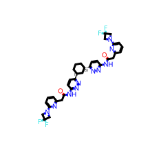 O=C(Cc1cccc(N2CC(F)(F)C2)n1)Nc1ccc([C@H]2CCC[C@H](c3ccc(NC(=O)Cc4cccc(N5CC(F)(F)C5)n4)nn3)C2)nn1